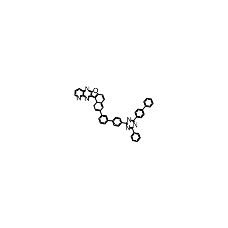 C1=Cc2oc3nc4cccnc4nc3c2C2CC=C(c3cccc(-c4ccc(-c5nc(-c6ccccc6)nc(-c6ccc(-c7ccccc7)cc6)n5)cc4)c3)C=C12